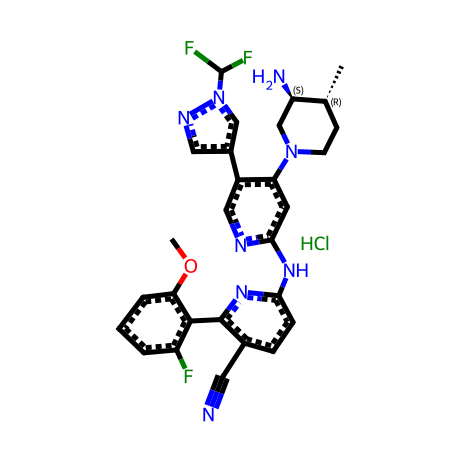 COc1cccc(F)c1-c1nc(Nc2cc(N3CC[C@@H](C)[C@H](N)C3)c(-c3cnn(C(F)F)c3)cn2)ccc1C#N.Cl